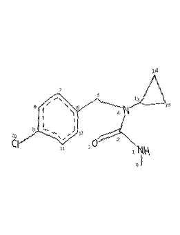 CNC(=O)N(Cc1ccc(Cl)cc1)C1CC1